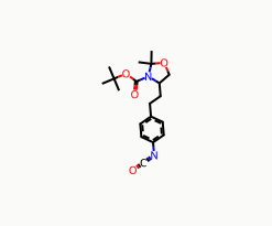 CC(C)(C)OC(=O)N1C(CCc2ccc(N=C=O)cc2)COC1(C)C